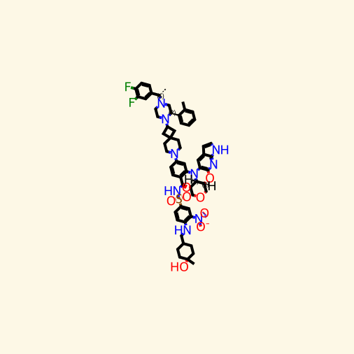 Cc1ccccc1[C@@H]1CN([C@@H](C)c2ccc(F)c(F)c2)CCN1C1CC2(CCN(c3ccc(C(=O)NS(=O)(=O)c4ccc(NCC5CCC(C)(O)CC5)c([N+](=O)[O-])c4)c(N4c5cc6cc[nH]c6nc5O[C@H]5COCC[C@@H]54)c3)CC2)C1